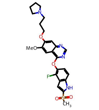 COc1cc2c(Oc3ccc4[nH]c(S(C)(=O)=O)cc4c3F)ncnc2cc1OCCCN1CCCC1